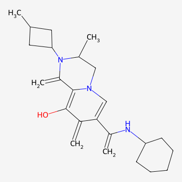 C=C(NC1CCCCC1)C1=CN2CC(C)N(C3CC(C)C3)C(=C)C2=C(O)C1=C